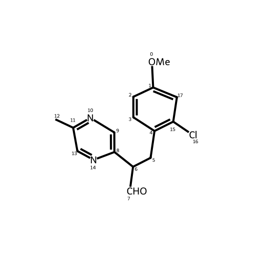 COc1ccc(CC(C=O)c2cnc(C)cn2)c(Cl)c1